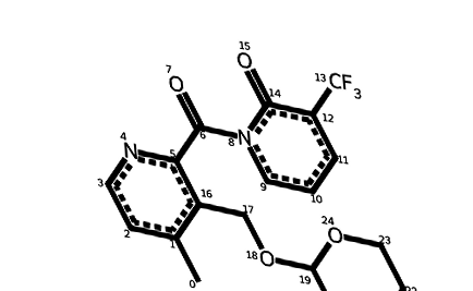 Cc1ccnc(C(=O)n2cccc(C(F)(F)F)c2=O)c1COC1CCCCO1